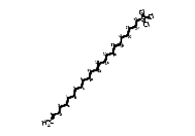 C=CCCCCCCCCCCCCCCCCCCCCCC[Si](Cl)(Cl)Cl